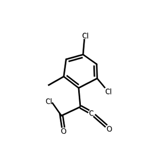 Cc1cc(Cl)cc(Cl)c1C(=C=O)C(=O)Cl